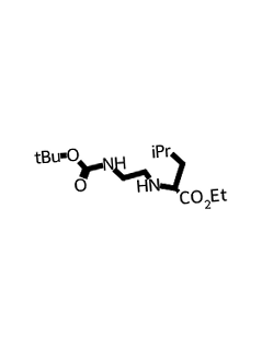 CCOC(=O)[C@H](CC(C)C)NCCNC(=O)OC(C)(C)C